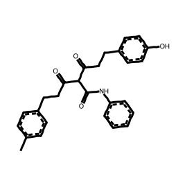 Cc1ccc(CCC(=O)C(C(=O)CCc2ccc(O)cc2)C(=O)Nc2ccccc2)cc1